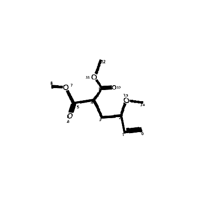 C=CC(CC(C(=O)OC)C(=O)OC)OC